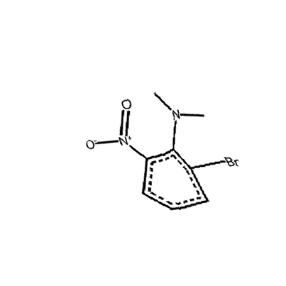 CN(C)c1c(Br)cccc1[N+](=O)[O-]